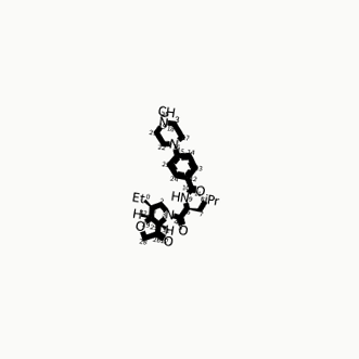 CC[C@H]1CN(C(=O)[C@H](CC(C)C)NC(=O)c2ccc(N3CCN(C)CC3)cc2)[C@@H]2C(=O)CO[C@H]12